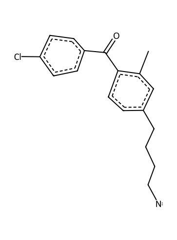 Cc1cc(CCCC[N])ccc1C(=O)c1ccc(Cl)cc1